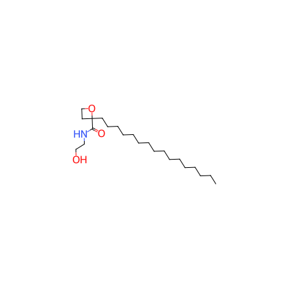 CCCCCCCCCCCCCCCCC1(C(=O)NCCO)CCO1